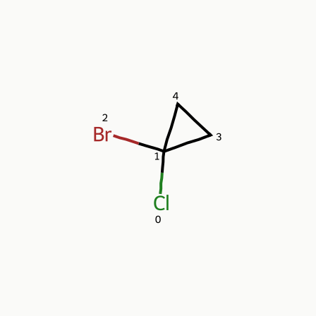 ClC1(Br)CC1